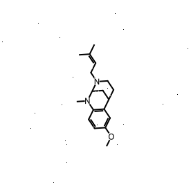 COc1ccc2c(c1)C1CCN(CC=C(C)C)C(C1)N2C